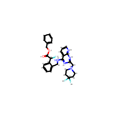 O=C(OCc1ccccc1)C(F)c1ccccc1CNc1nc(CN2CCC(F)(F)CC2)nc2ncccc12